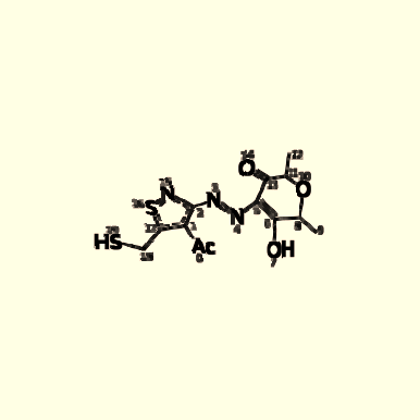 CC(=O)c1c(N=NC2=C(O)C(C)OC(C)C2=O)nsc1CS